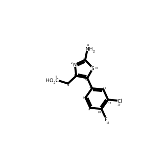 Nc1nc(CC(=O)O)c(-c2ccc(F)c(Cl)c2)s1